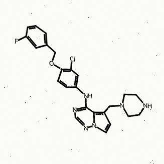 Fc1cccc(COc2ccc(Nc3ncnn4ccc(CN5CCNCC5)c34)cc2Cl)c1